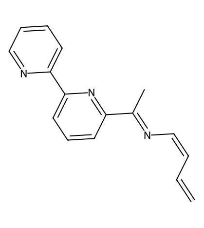 C=C/C=C\N=C(/C)c1cccc(-c2ccccn2)n1